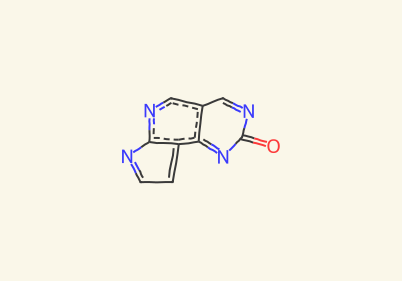 O=C1N=Cc2cnc3c(c2=N1)=CC=N3